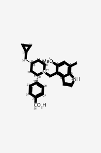 COc1cc(C)c2[nH]ccc2c1CN1CC[C@@H](CC2CC2)C[C@H]1c1ccc(C(=O)O)cc1